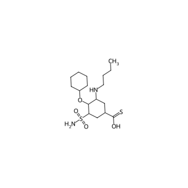 CCCCNC1CC(C(O)=S)CC(S(N)(=O)=O)C1OC1CCCCC1